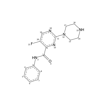 O=C(Nc1ccccc1)c1nc(N2CCNCC2)ncc1F